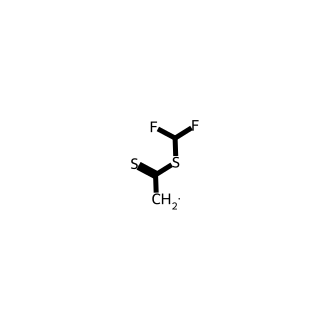 [CH2]C(=S)SC(F)F